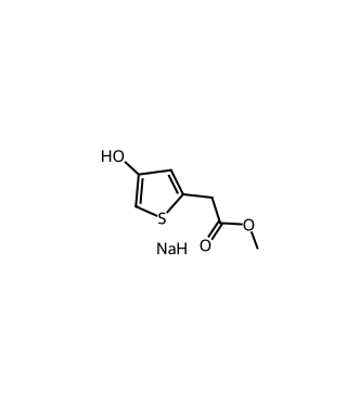 COC(=O)Cc1cc(O)cs1.[NaH]